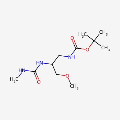 CNC(=O)NC(CNC(=O)OC(C)(C)C)COC